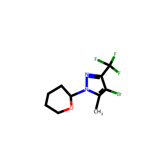 Cc1c(Br)c(C(F)(F)F)nn1C1CCCCO1